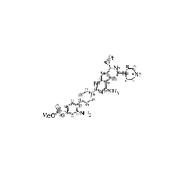 CCOc1nc(N2CCNCC2)nc2c1sc1nc(-c3ccc(-c4ccc(OC(=O)OC)cc4N)cc3)nc(C)c12